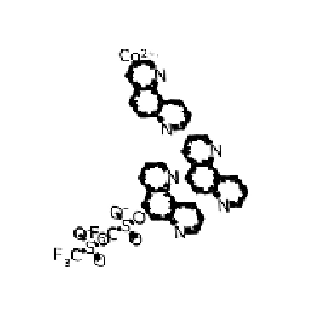 O=S(=O)([O-])C(F)(F)F.O=S(=O)([O-])C(F)(F)F.[Co+2].c1cnc2c(c1)ccc1ncccc12.c1cnc2c(c1)ccc1ncccc12.c1cnc2c(c1)ccc1ncccc12